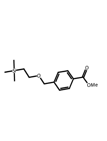 COC(=O)c1ccc(COCC[Si](C)(C)C)cc1